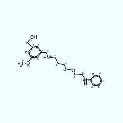 OCc1cc(CNCCCCOCCNc2ccccc2)cc(OC(F)(F)F)c1